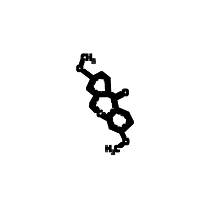 COc1ccc2c(=O)c3ccc(OC)cc3ccc2c1